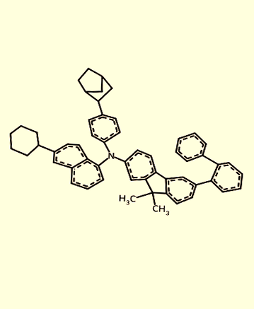 CC1(C)c2ccc(-c3ccccc3-c3ccccc3)cc2-c2ccc(N(c3ccc(C4CC5CCC4C5)cc3)c3cccc4cc(C5CCCCC5)ccc34)cc21